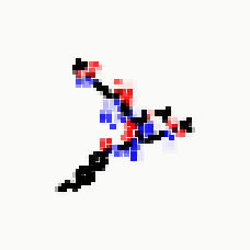 CCCCc1ccc(-c2ccc(C(=O)NCCC(=O)N[C@@H](CCCCNC(=O)OC(C)(C)C)C(=O)N[C@H](C(=O)N[C@@H](N)C(=O)N[C@@H](CCCCNC(=O)OC(C)(C)C)C(=O)O)[C@@H](C)OCC(C)C)cc2)cc1